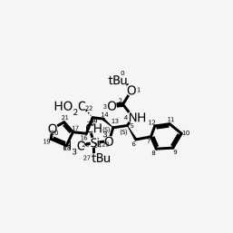 CC(C)(C)OC(=O)N[C@@H](Cc1ccccc1)[C@H](C[C@H](Cc1ccoc1)C(=O)O)O[Si](C)(C)C(C)(C)C